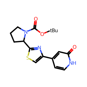 CC(C)(C)OC(=O)N1CCCC1c1nc(-c2cc[nH]c(=O)c2)cs1